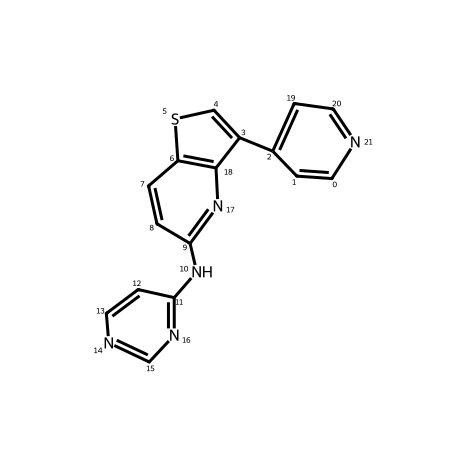 c1cc(-c2csc3ccc(Nc4ccncn4)nc23)ccn1